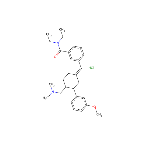 CCN(CC)C(=O)c1cccc(C=C2CCC(CN(C)C)C(c3cccc(OC)c3)C2)c1.Cl